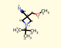 COCC1(C#N)CN(C(C)(C)C)C1